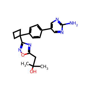 CC(C)(O)Cc1nc(C2(c3ccc(-c4cnc(N)nc4)cc3)CCC2)no1